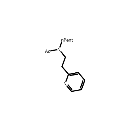 CCCCCN(CCc1ccccn1)C(C)=O